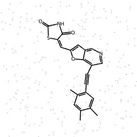 Cc1cc(C)c(C#Cc2cncc3cc(C=C4SC(=O)NC4=O)oc23)cc1C